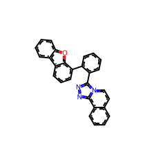 c1ccc(-c2nnc3c4ccccc4ccn23)c(-c2cccc3c2oc2ccccc23)c1